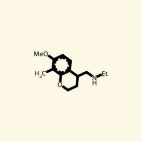 CCNCC1CCOc2c1ccc(OC)c2C